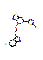 Cc1ncc(-c2nc(OCCc3c[nH]c4ccc(Cl)cc34)c3ncsc3n2)s1